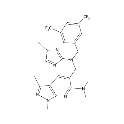 Cc1nn(C)c2nc(N(C)C)c(CN(Cc3cc(C(F)(F)F)cc(C(F)(F)F)c3)c3nnn(C)n3)cc12